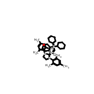 Cc1cc(C)c(N2CCN(c3c(C)cc(C)cc3C)[C]2=[Ru]([Cl])([Cl])=[CH][PH](C2CCCCC2)(C2CCCCC2)C2CCCCC2)c(C)c1